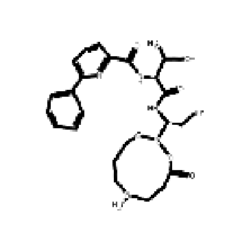 CC(C)C[C@H](NC(=O)[C@@H](NC(=O)c1cccc(-c2ccccc2)n1)C(C)O)B1OCCCN(C)CCC(=O)O1